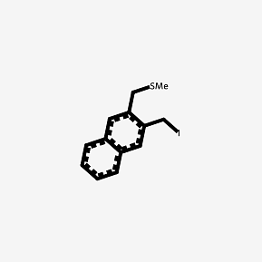 CSCc1cc2ccccc2cc1CI